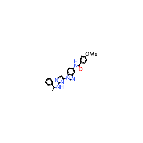 COc1ccc(C(=O)Nc2ccc3c(c2)ncn3-c2ccnc(N[C@@H](C)c3ccccc3)n2)cc1